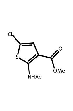 COC(=O)c1cc(Cl)sc1NC(C)=O